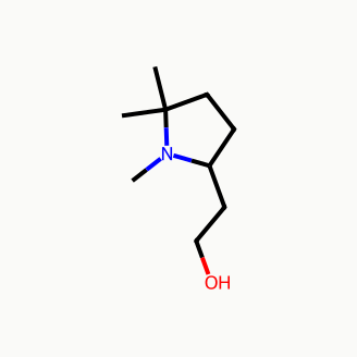 CN1C(CCO)CCC1(C)C